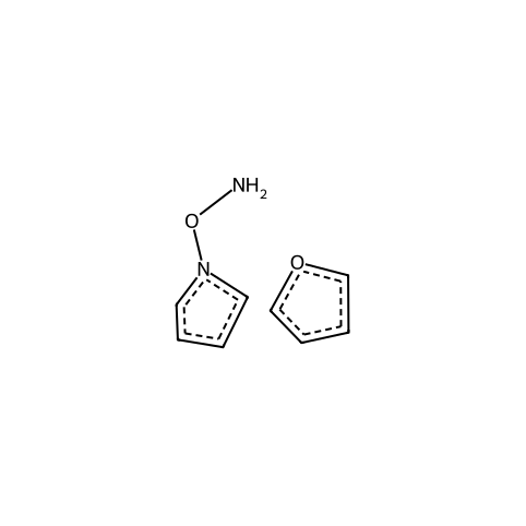 NOn1cccc1.c1ccoc1